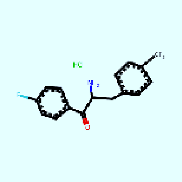 Cl.NC(Cc1ccc(C(F)(F)F)cc1)C(=O)c1ccc(F)cc1